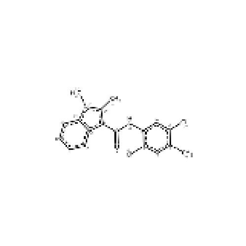 Cc1cc(Cl)c(NC(=O)c2c(C)n(C)c3ccccc23)cc1Cl